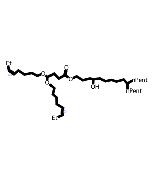 [CH2]CCCCC(CCCCC)CCCCCC(O)CCCOC(=O)CCC(OCCCC/C=C\CC)OCCCC/C=C\CC